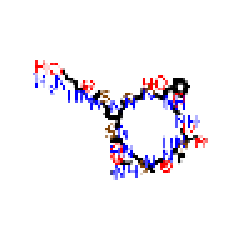 CNC(=O)C[C@@H]1NC(=O)c2csc(n2)-c2ccc(-c3nc(NC(=O)CC[C@H](N)CO)cs3)nc2-c2csc(n2)-c2csc(n2)[C@H]([C@@H](O)c2ccccc2)NC(=O)CNC(=O)c2nc(sc2COC)[C@H](C(C)C)NC(=O)c2nc1sc2C